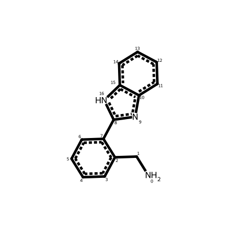 NCc1ccccc1-c1nc2ccccc2[nH]1